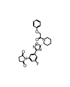 O=C1CCC(=O)N1c1cc(F)cc(-c2noc([C@H]3CCCCN3C(=O)COc3ccccc3)n2)c1